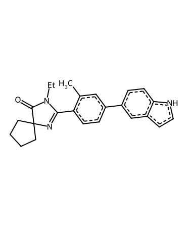 CCN1C(=O)C2(CCCC2)N=C1c1ccc(-c2ccc3[nH]ccc3c2)cc1C